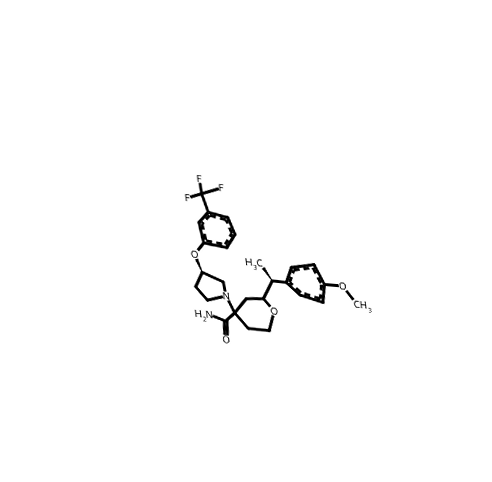 COc1ccc([C@H](C)C2CC(C(N)=O)(N3CC[C@@H](Oc4cccc(C(F)(F)F)c4)C3)CCO2)cc1